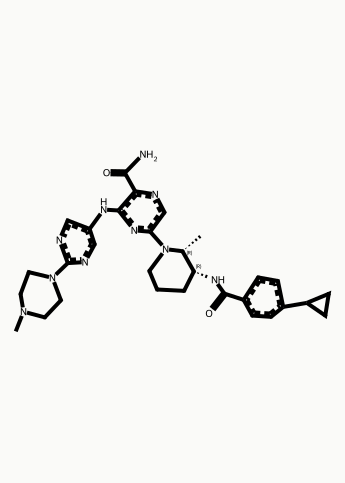 C[C@@H]1[C@H](NC(=O)c2ccc(C3CC3)cc2)CCCN1c1cnc(C(N)=O)c(Nc2cnc(N3CCN(C)CC3)nc2)n1